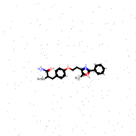 CC(=O)NC(Cc1ccc(OCCc2nc(-c3ccccc3)oc2C)cc1)C(N)=O